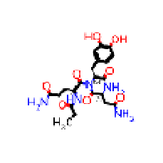 CCC(=O)N[C@@H](CCC(N)=O)C(=O)N(C(=O)[C@@H](N)CC(N)=O)[C@H]([C]=O)Cc1ccc(O)c(O)c1